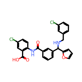 O=C(Nc1ccc(Cl)cc1C(=O)O)c1cccc(C(NCc2cccc(Cl)c2)c2ccco2)c1